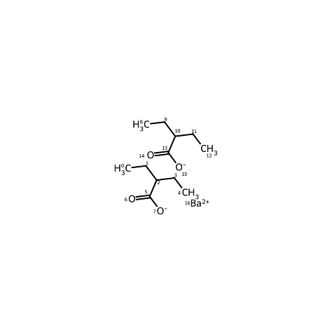 CCC(CC)C(=O)[O-].CCC(CC)C(=O)[O-].[Ba+2]